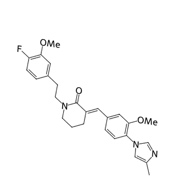 COc1cc(CCN2CCCC(=Cc3ccc(-n4cnc(C)c4)c(OC)c3)C2=O)ccc1F